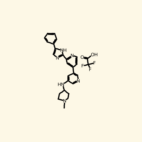 CN1CCC(Nc2cncc(-c3ccnc(-c4ncc(-c5ccccc5)[nH]4)c3)c2)CC1.O=C(O)C(F)(F)F